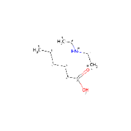 CCCCCC(=O)O.CCNCC